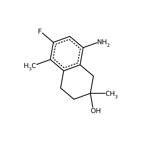 Cc1c(F)cc(N)c2c1CCC(C)(O)C2